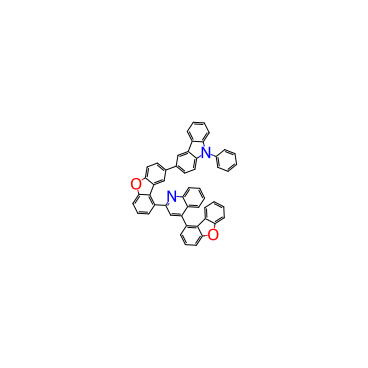 c1ccc(-n2c3ccccc3c3cc(-c4ccc5oc6cccc(-c7cc(-c8cccc9oc%10ccccc%10c89)c8ccccc8n7)c6c5c4)ccc32)cc1